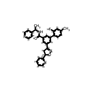 Cc1ccc(-c2cc(C(=O)NC(C)c3ccncc3)cc(C3=NOC(c4ccccn4)C3)c2)c(F)c1